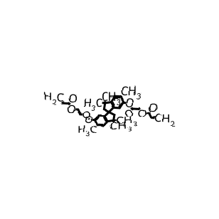 C=CC(=O)OCCOOc1cc2c(cc1C)C(C)(C)CC21CC(C)(C)c2cc(C)c(OC(=O)COC(=O)C=C)cc21